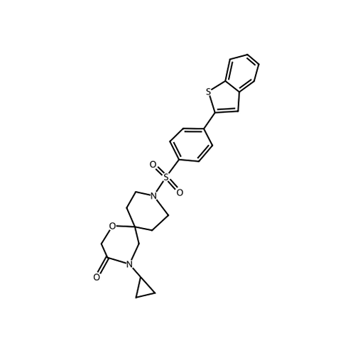 O=C1COC2(CCN(S(=O)(=O)c3ccc(-c4cc5ccccc5s4)cc3)CC2)CN1C1CC1